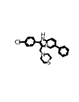 Clc1ccc(C2=C(CN3CCSCC3)N3C=C(c4ccccc4)C=CC3N2)cc1